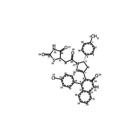 Cc1ccc([C@@H]2CC(c3c(-c4ccc(Cl)cc4)c4ccccc4[nH]c3=O)=NN2C(=O)CC2SC(=O)NC2=O)cc1